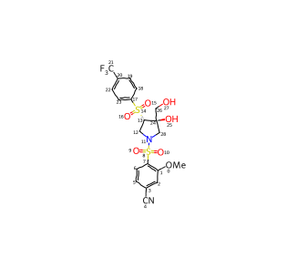 COc1cc(C#N)ccc1S(=O)(=O)N1C[C@H](S(=O)(=O)c2ccc(C(F)(F)F)cc2)[C@](O)(CO)C1